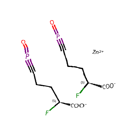 O=P#CCC[C@H](F)C(=O)[O-].O=P#CCC[C@H](F)C(=O)[O-].[Zn+2]